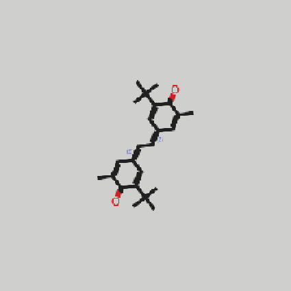 CC1=C/C(=C/C=C2/C=C(C)C(=O)C(C(C)(C)C)=C2)C=C(C(C)(C)C)C1=O